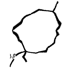 CPC1(C)CCCCCC(C)CCCCC1